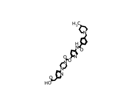 CC1CCN(Cc2ccc(C(=O)Nc3ccc(OC(=O)N4CCN(c5ccc(CC(=O)O)cn5)CC4)nc3)cc2)CC1